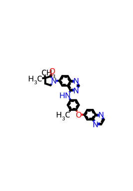 Cc1cc(Nc2ncnc3ccc(N4CCC(C)(C)C4=O)cc23)ccc1Oc1ccc2nccnc2c1